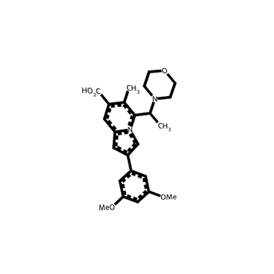 COc1cc(OC)cc(-c2cc3cc(C(=O)O)c(C)c(C(C)N4CCOCC4)n3c2)c1